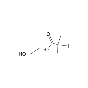 CC(C)(I)C(=O)OCCO